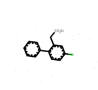 CCOC(=O)Cc1cc(F)ccc1-c1ccccc1